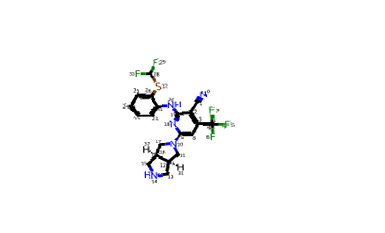 N#Cc1c(C(F)(F)F)cc(N2C[C@H]3CNC[C@H]3C2)nc1Nc1ccccc1SC(F)F